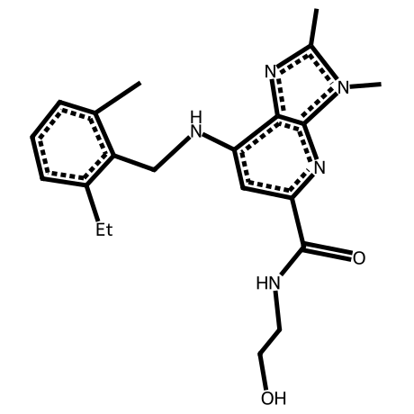 CCc1cccc(C)c1CNc1cc(C(=O)NCCO)nc2c1nc(C)n2C